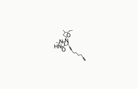 C#CCCCCC#Cc1cn([C@H]2CC(C)[C@@H](CC)O2)c2nc(C)[nH]c(=O)c12